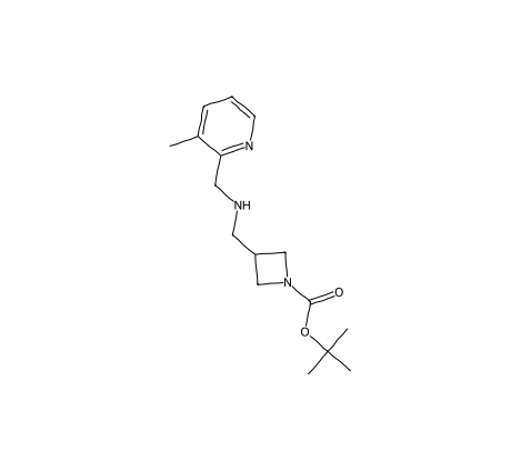 Cc1cccnc1CNCC1CN(C(=O)OC(C)(C)C)C1